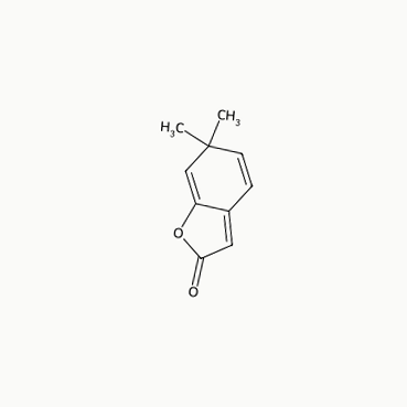 CC1(C)C=CC2=CC(=O)OC2=C1